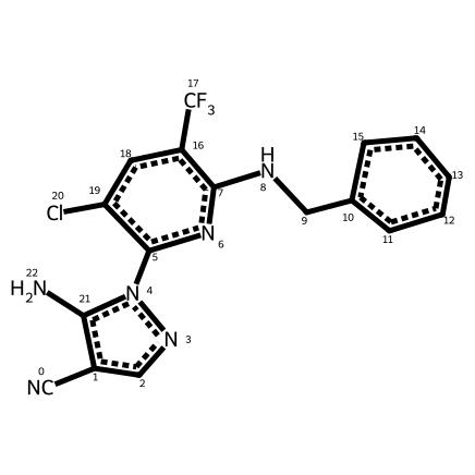 N#Cc1cnn(-c2nc(NCc3ccccc3)c(C(F)(F)F)cc2Cl)c1N